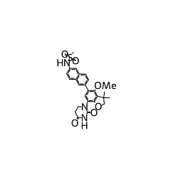 COc1c(-c2ccc3cc(NS(C)(=O)=O)ccc3c2)cc(N2CCC(=O)NC2=O)c2c1C(C)(C)CO2